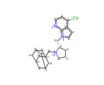 Clc1ccnc2c1ccn2C[C@@H]1CCCN1CC12CC3CC(CC(C3)C1)C2